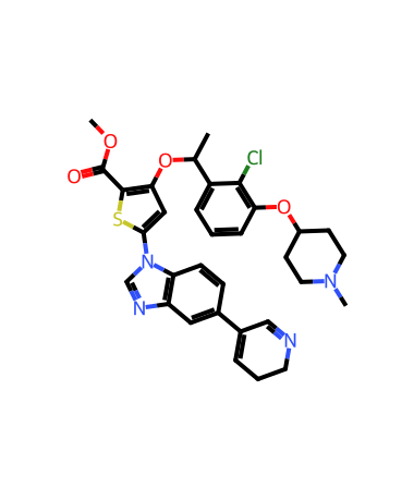 COC(=O)c1sc(-n2cnc3cc(C4=CCCN=C4)ccc32)cc1OC(C)c1cccc(OC2CCN(C)CC2)c1Cl